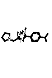 CC(C)c1ccc(-c2nc(CN3CCCC3)nn2C)cc1